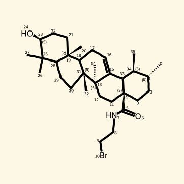 C[C@@H]1CC[C@]2(C(=O)NCCBr)CC[C@]3(C)C(=CCC4[C@@]5(C)CC[C@H](O)C(C)(C)C5CC[C@]43C)C2[C@H]1C